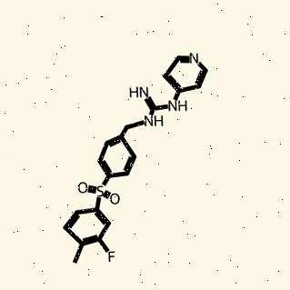 Cc1ccc(S(=O)(=O)c2ccc(CNC(=N)Nc3ccncc3)cc2)cc1F